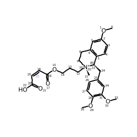 COc1ccc2c(c1)CC[N@@+](C)(CCCOC(=O)/C=C\C(=O)O)[C@@H]2Cc1ccc(OC)c(OC)c1